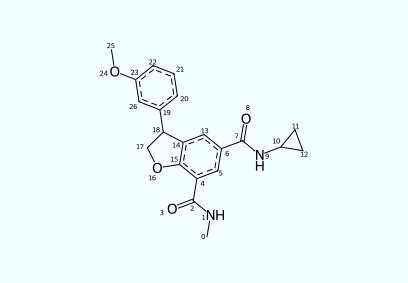 CNC(=O)c1cc(C(=O)NC2CC2)cc2c1OCC2c1cccc(OC)c1